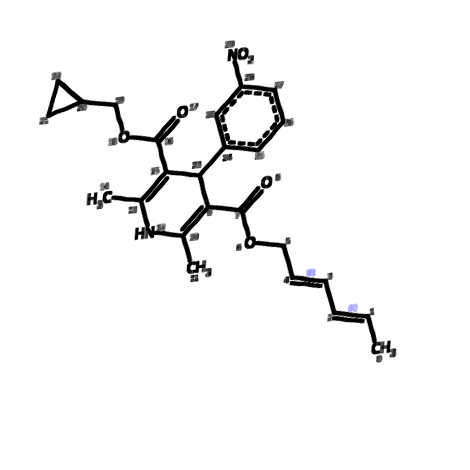 C/C=C/C=C/COC(=O)C1=C(C)NC(C)=C(C(=O)OCC2CC2)C1c1cccc([N+](=O)[O-])c1